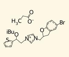 CCC(=O)[O-].CCC(C)OC(C[n+]1ccn(CC2Cc3cc(Br)ccc3O2)c1)c1cccs1